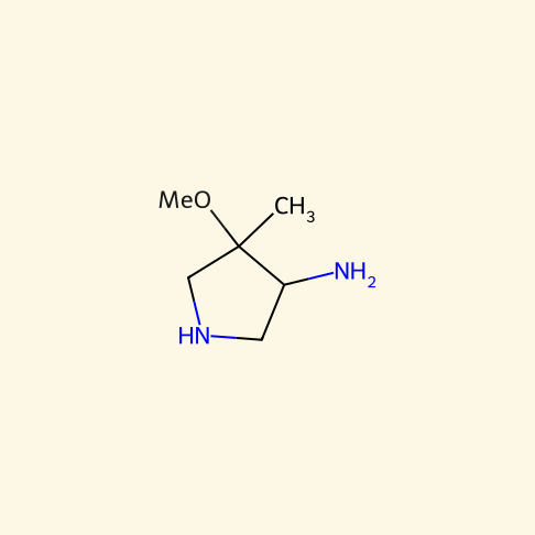 COC1(C)CNCC1N